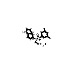 Cc1cc(C)cc(S(=O)(=O)N(CC(=O)O)c2ccc3[nH]ccc3c2)c1